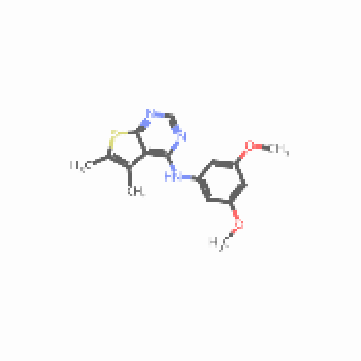 COc1cc(Nc2ncnc3sc(C)c(C)c23)cc(OC)c1